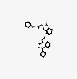 CN(C(=O)CCCOc1cccc2c1CN(CC(=O)OCc1ccccc1)C(N)=N2)C(c1ccccc1)c1ccccc1